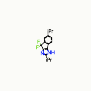 CC(C)c1ccc2c(c1)C(F)(F)c1nc(C(C)C)[nH]c1-2